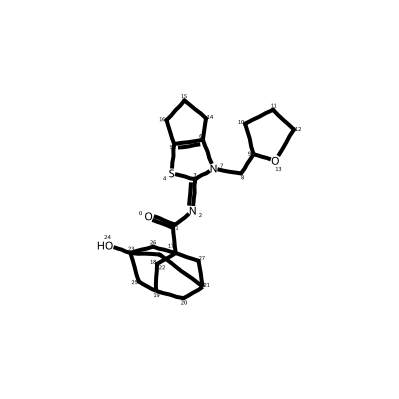 O=C(/N=c1\sc2c(n1CC1CCCO1)CCC2)C12CC3CC(CC(O)(C3)C1)C2